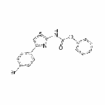 O=C(Nc1nc(-c2ccc(Br)cc2)cs1)Oc1ccccc1